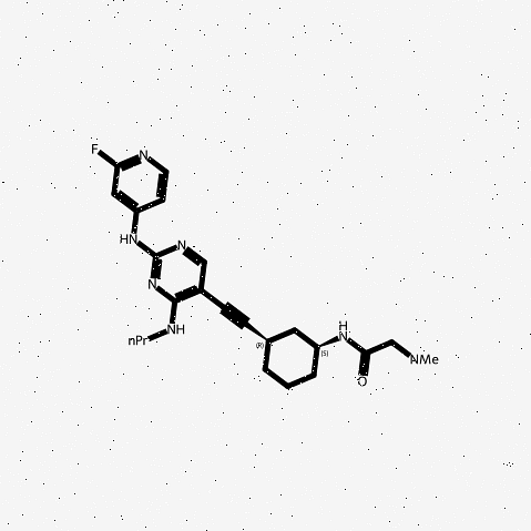 CCCNc1nc(Nc2ccnc(F)c2)ncc1C#C[C@@H]1CCC[C@H](NC(=O)CNC)C1